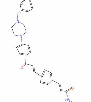 O=C(C=Cc1ccc(C=CC(=O)c2ccc(N3CCN(Cc4ccccc4)CC3)cc2)cc1)NO